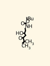 C/C=C(\C)C(=O)CC(O)CCNC(=O)OC(C)(C)C